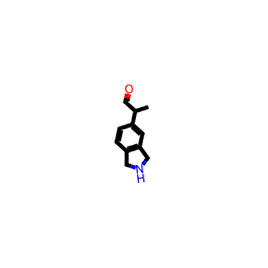 CC(C=O)c1ccc2c(c1)CNC2